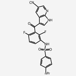 [C-]#[N+]c1cnc2[nH]cc(C(=O)c3c(F)ccc(NS(=O)(=O)c4ccc(CCC)cc4)c3F)c2c1